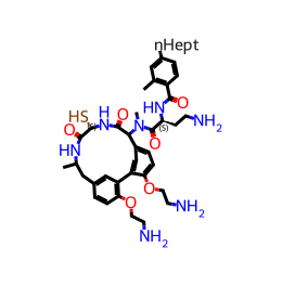 CCCCCCCc1ccc(C(=O)N[C@@H](CCN)C(=O)N(C)C2C(=O)N[C@@H](S)C(=O)NC(C)Cc3ccc(OCCN)c(c3)-c3cc2ccc3OCCN)c(C)c1